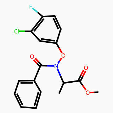 COC(=O)C(C)N(Oc1ccc(F)c(Cl)c1)C(=O)c1ccccc1